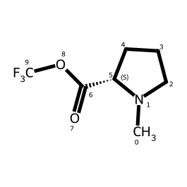 CN1CCC[C@H]1C(=O)OC(F)(F)F